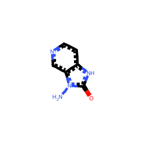 Nn1c(=O)[nH]c2ccncc21